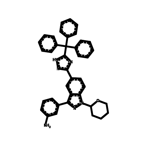 Nc1cccc(-c2nn(C3CCCCO3)c3ccc(-c4n[nH]c(C(c5ccccc5)(c5ccccc5)c5ccccc5)n4)cc23)c1